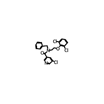 O=C(c1cncc(Cl)c1)N(CCOc1c(Cl)cccc1Cl)Cc1ccccc1